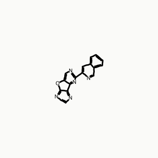 c1ccc2cc(-c3ncc4oc5nccnc5c4n3)ncc2c1